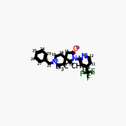 CC1(C)N(c2cc(C(F)(F)F)ccn2)C(=O)CC12CCN(Cc1ccccc1)CC2